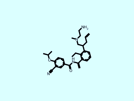 C=CCC(CN(C)CCN)c1cccc(C(=C)NC(=O)c2ccc(OC(C)C)c(C#N)c2)c1CC